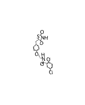 COc1ccc(Cl)cc1C(=O)NCCOc1ccc(CC2SC(=O)NC2=O)cc1